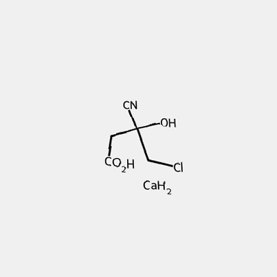 N#CC(O)(CCl)CC(=O)O.[CaH2]